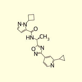 C[C@H](NC(=O)c1ccnn1C1CCC1)c1nc(-c2ccnc(C3CC3)c2)no1